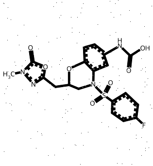 Cn1nc(CC2CN(S(=O)(=O)c3ccc(F)cc3)c3cc(NC(=O)O)ccc3O2)oc1=O